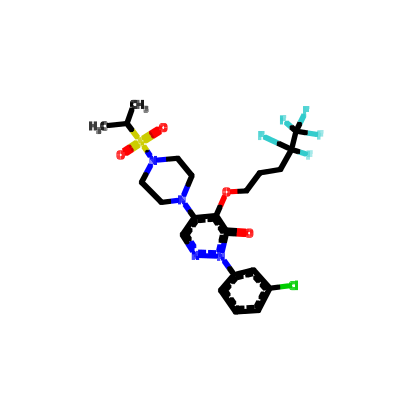 CC(C)S(=O)(=O)N1CCN(c2cnn(-c3cccc(Cl)c3)c(=O)c2OCCCC(F)(F)C(F)(F)F)CC1